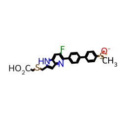 C[S+]([O-])c1ccc(-c2ccc(-c3nc4cc(CSCC(=O)O)[nH]c4cc3F)cc2)cc1